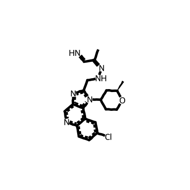 C/C(C=N)=N/NCc1nc2cnc3ccc(Cl)cc3c2n1C1CCO[C@H](C)C1